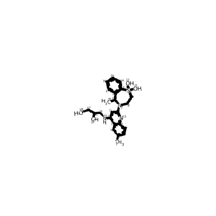 Cc1ccc2nc(N3CCS(O)(O)c4ccccc4C3C)cc(NCC(O)CO)c2c1